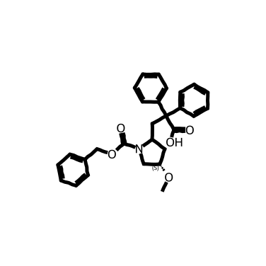 CO[C@H]1CC(CC(C(=O)O)(c2ccccc2)c2ccccc2)N(C(=O)OCc2ccccc2)C1